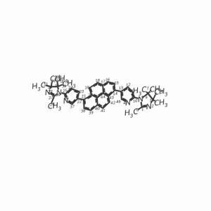 CC1=NC(C)(C)C(C)(C)N1c1ccc(-c2ccc3ccc4c(-c5ccc(N6C(C)=NC(C)(C)C6(C)C)nc5)ccc5ccc2c3c54)cn1